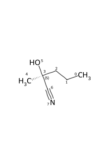 CCC[C@](C)(O)C#N